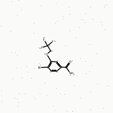 NC(=O)c1ccc(Br)c(OCC(F)(F)F)c1